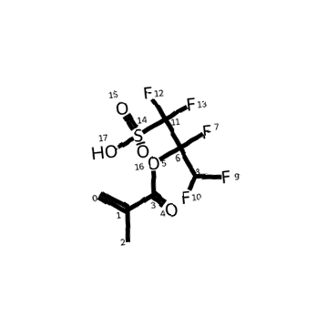 C=C(C)C(=O)OC(F)(C(F)F)C(F)(F)S(=O)(=O)O